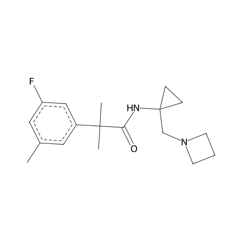 Cc1cc(F)cc(C(C)(C)C(=O)NC2(CN3CCC3)CC2)c1